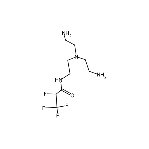 NCCN(CCN)CCNC(=O)C(F)C(F)(F)F